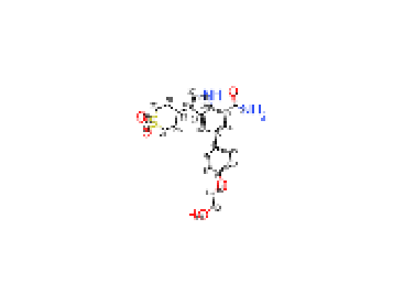 NC(=O)c1cc(-c2ccc(OCCO)cc2)cc2c(C3CCS(=O)(=O)CC3)c[nH]c12